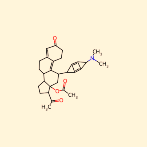 CC(=O)OC12CC(C3C4=C5C(=C43)C5N(C)C)C3=C4CCC(=O)C=C4CCC3C1CCC2C(C)=O